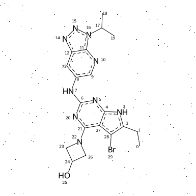 CCc1[nH]c2nc(Nc3cnc4c(c3)nnn4C(C)C)nc(N3CC(O)C3)c2c1Br